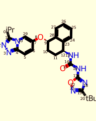 CC(C)c1nnc2ccc(O[C@H]3CC[C@H](NC(=O)Nc4nc(C(C)(C)C)no4)c4ccccc43)cn12